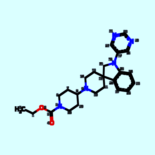 CCOC(=O)N1CCC(N2CCC3(CC2)CN(c2cncnc2)c2ccccc23)CC1